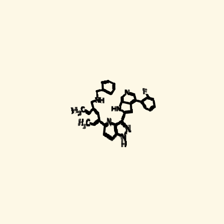 C=C/C(=C\C(=C/C)c1ccc2[nH]nc(-c3cc4c(-c5ccccc5F)cncc4[nH]3)c2n1)CNCc1ccccc1